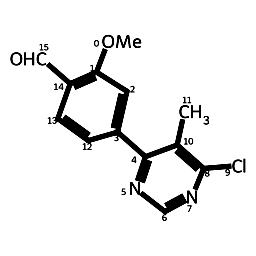 COc1cc(-c2ncnc(Cl)c2C)ccc1C=O